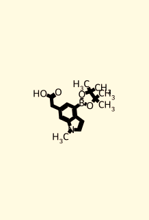 Cn1ccc2c(B3OC(C)(C)C(C)(C)O3)cc(CC(=O)O)cc21